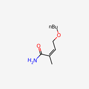 CCCCOCC=C(C)C(N)=O